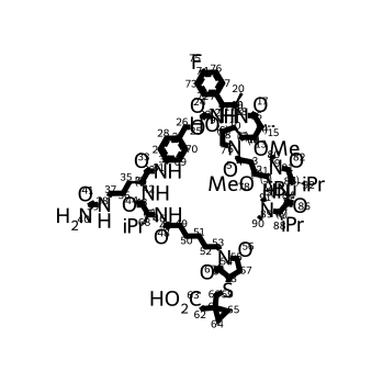 CC[C@H](C)[C@@H]([C@@H](CC(=O)N1C[C@@H](O)C[C@H]1[C@H](OC)[C@@H](C)C(=O)N[C@H](C)C(NC(=O)OCc1ccc(NC(=O)[C@H](CCCNC(N)=O)NC(=O)[C@@H](NC(=O)CCCCCN2C(=O)CC(SCC3(CC(=O)O)CC3)C2=O)C(C)C)cc1)c1ccc(F)cc1)OC)N(C)C(=O)[C@@H](NC(=O)[C@H](C(C)C)N(C)C)C(C)C